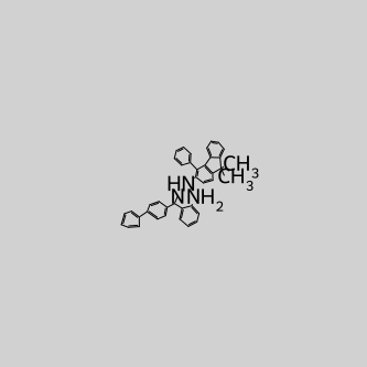 CC1(C)c2ccccc2-c2c1ccc(N/C=N/C(c1ccc(-c3ccccc3)cc1)c1ccccc1N)c2-c1ccccc1